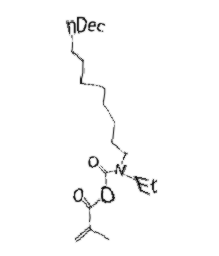 C=C(C)C(=O)OC(=O)N(CC)CCCCCCCCCCCCCCCCCC